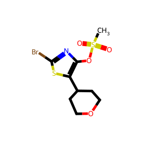 CS(=O)(=O)Oc1nc(Br)sc1C1CCOCC1